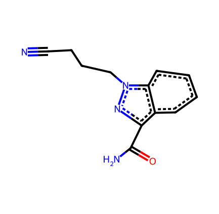 N#CCCCn1nc(C(N)=O)c2ccccc21